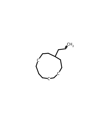 C=CCC1CCCCCCCCCCC1